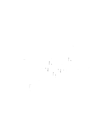 O=C(C1CCC1)N1CCCCC1c1nnn(-c2cc(F)cc(F)c2)n1